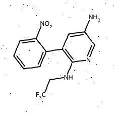 Nc1cnc(NCC(F)(F)F)c(-c2ccccc2[N+](=O)[O-])c1